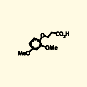 COc1ccc(OCCC(=O)O)c(OC)c1